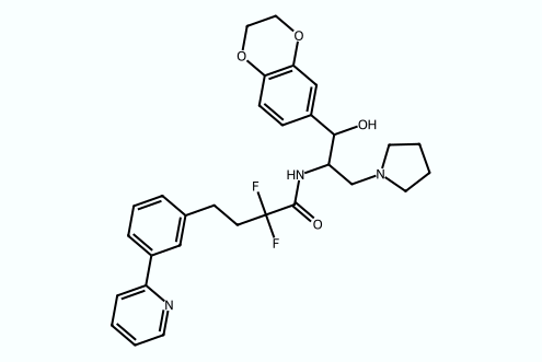 O=C(NC(CN1CCCC1)C(O)c1ccc2c(c1)OCCO2)C(F)(F)CCc1cccc(-c2ccccn2)c1